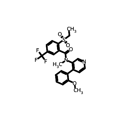 CCS(=O)(=O)c1ccc(C(F)(F)F)cc1C(=O)N(C)c1cnccc1-c1ccccc1OC